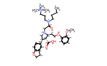 CCCCN(CCC[N+](C)(C)C)C(=O)CN1C[C@H](c2ccc3c(c2)CCO3)[C@@H](C(=O)O)[C@@H]1CCOc1ccccc1OC